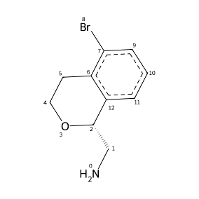 NC[C@@H]1OCCc2c(Br)cccc21